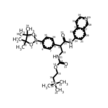 CC1(C)OB(c2ccc(C(CNC(=O)OCCS(C)(C)C)C(=O)Nc3ccc4cnccc4c3)cc2)OC1(C)C